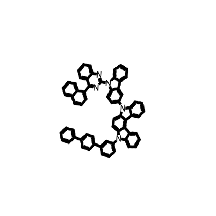 c1ccc(-c2ccc(-c3cccc(-n4c5ccccc5c5c6c7ccccc7n(-c7ccc8c(c7)c7ccccc7n8-c7nc(-c8cccc9ccccc89)c8ccccc8n7)c6ccc54)c3)cc2)cc1